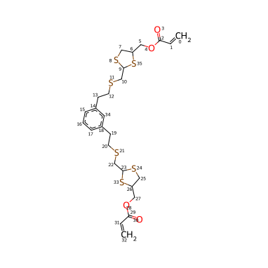 C=CC(=O)OCC1CSC(CSCCc2cccc(CCSCC3SCC(COC(=O)C=C)S3)c2)S1